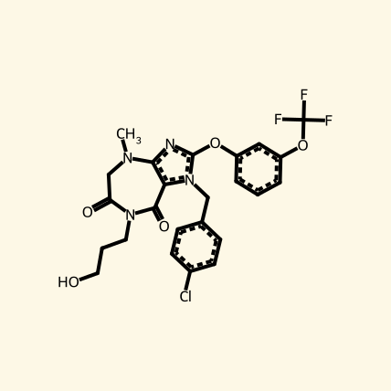 CN1CC(=O)N(CCCO)C(=O)c2c1nc(Oc1cccc(OC(F)(F)F)c1)n2Cc1ccc(Cl)cc1